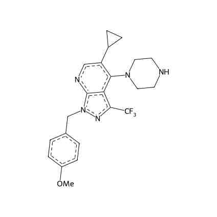 COc1ccc(Cn2nc(C(F)(F)F)c3c(N4CCNCC4)c(C4CC4)cnc32)cc1